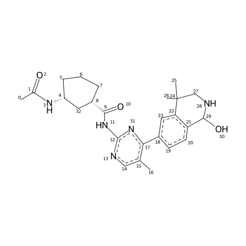 CC(=O)N[C@@H]1CCC[C@H](C(=O)Nc2ncc(C)c(-c3ccc4c(c3)C(C)(C)CNC4O)n2)C1